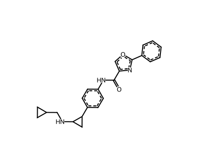 O=C(Nc1ccc(C2CC2NCC2CC2)cc1)c1coc(-c2ccccc2)n1